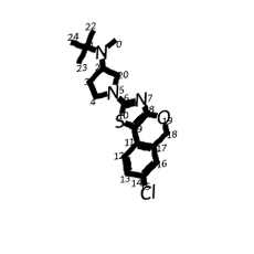 CN(C1CCN(c2nc3c(s2)-c2ccc(Cl)cc2CO3)C1)C(C)(C)C